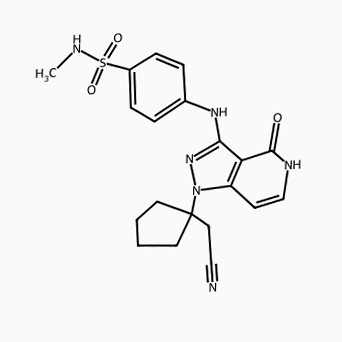 CNS(=O)(=O)c1ccc(Nc2nn(C3(CC#N)CCCC3)c3cc[nH]c(=O)c23)cc1